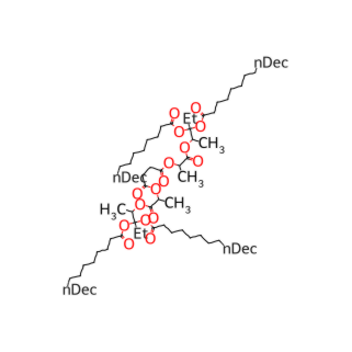 CCCCCCCCCCCCCCCCCC(=O)OC(CC)(OC(=O)CCCCCCCCCCCCCCCCC)C(C)OC(=O)C(C)OC(=O)CCC(=O)OC(C)C(=O)OC(C)C(CC)(OC(=O)CCCCCCCCCCCCCCCCC)OC(=O)CCCCCCCCCCCCCCCCC